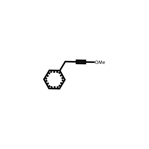 [CH2]OC#CCc1ccccc1